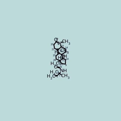 C=CC(C)(C)NC(=O)[C@H]1CC[C@H]2[C@@H]3CCC4N(C)C(=O)CC[C@]4(C)[C@H]3CC[C@]12C